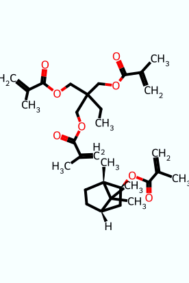 C=C(C)C(=O)OCC(CC)(COC(=O)C(=C)C)COC(=O)C(=C)C.C=C(C)C(=O)O[C@H]1C[C@@H]2CC[C@@]1(C)C2(C)C